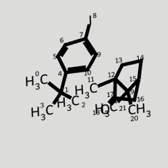 CC(C)(C)c1ccc(I)cc1.CC12CCC(CC1=O)C2(C)C